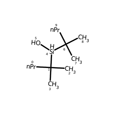 CCCC(C)(C)[SiH](O)C(C)(C)CCC